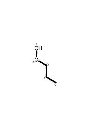 CC[CH]OO